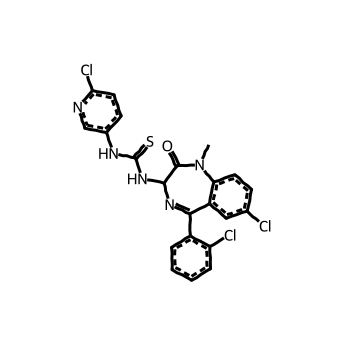 CN1C(=O)C(NC(=S)Nc2ccc(Cl)nc2)N=C(c2ccccc2Cl)c2cc(Cl)ccc21